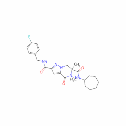 CN1C(=O)c2cc(C(=O)NCc3ccc(F)cc3)nn2CC1(C)C(=O)NC1CCCCCC1